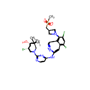 CC1(C)CN(c2nccc(Nc3cc4c(F)cc(F)c(N5CC(CS(C)(=O)=O)C5)c4cn3)n2)C[C@H](F)[C@@H]1O